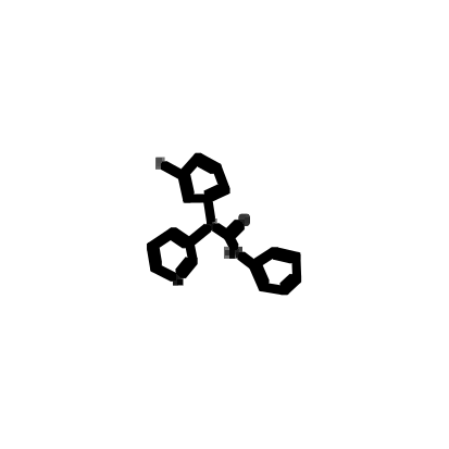 O=C(Nc1ccccc1)N(c1cccnc1)c1cccc(F)c1